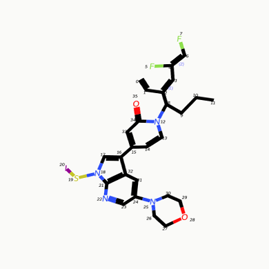 C=C/C(=C\C(F)=C\F)C(CCC)n1ccc(-c2cn(SI)c3ncc(N4CCOCC4)cc23)cc1=O